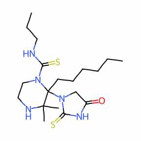 CCCCCCC1(N2CC(=O)NC2=S)N(C(=S)NCCC)CCNC1(C)C